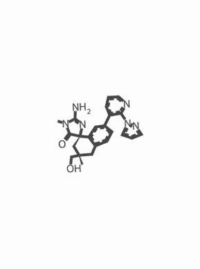 CN1C(=O)[C@]2(C[C@@](C)(CO)Cc3ccc(-c4cccnc4-n4cccn4)cc32)N=C1N